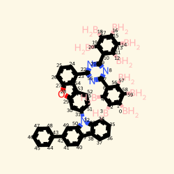 Bc1c(B)c(B)c(-c2nc(-c3c(B)c(B)c(B)c(B)c3B)nc(-c3cccc4oc5cc(-n6c7ccccc7c7ccc(-c8ccccc8)cc76)ccc5c34)n2)c(B)c1B